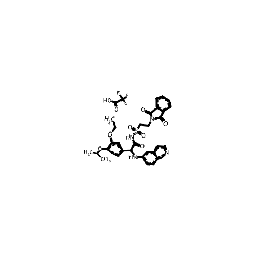 CCOc1cc(C(Nc2ccc3cnccc3c2)C(=O)NS(=O)(=O)CCN2C(=O)c3ccccc3C2=O)ccc1OC(C)C.O=C(O)C(F)(F)F